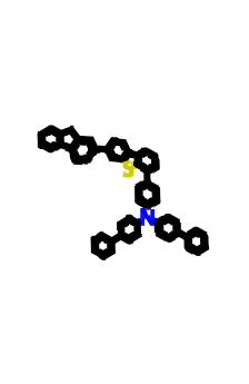 c1ccc(-c2ccc(N(c3ccc(-c4ccccc4)cc3)c3ccc(-c4cccc5c4sc4cc(-c6ccc7c(c6)Cc6ccccc6-7)ccc45)cc3)cc2)cc1